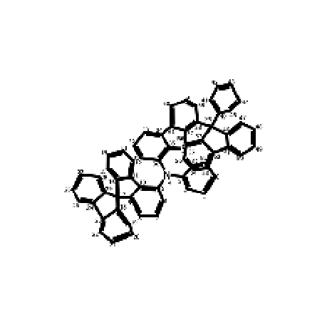 c1ccc(N(c2cccc3c2-c2ccccc2C32c3ccccc3-c3ccccc32)c2cccc3c2sc2c(C4(c5ccccc5)c5ccccc5-c5ccccc54)cccc23)cc1